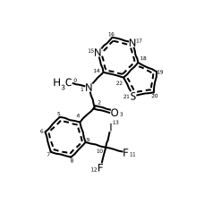 CN(C(=O)c1ccccc1C(F)(F)I)c1ncnc2ccsc12